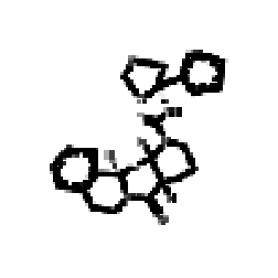 O=C1[C@H]2CCCN(C(=O)N[C@@]3(c4ccccc4)COCO3)[C@H]2C[C@@H]2c3ccccc3CCN12